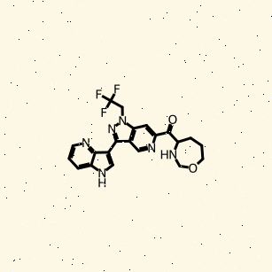 O=C(c1cc2c(cn1)c(-c1c[nH]c3cccnc13)nn2CC(F)(F)F)C1CCCOCN1